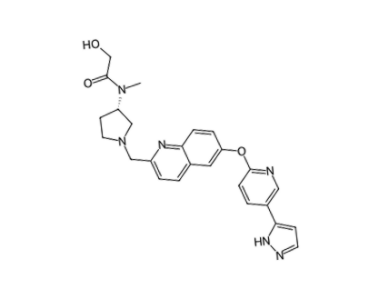 CN(C(=O)CO)[C@H]1CCN(Cc2ccc3cc(Oc4ccc(-c5ccn[nH]5)cn4)ccc3n2)C1